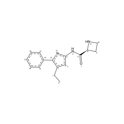 CCc1sc(NC(=O)[C@@H]2CCN2)nc1-c1ccccc1